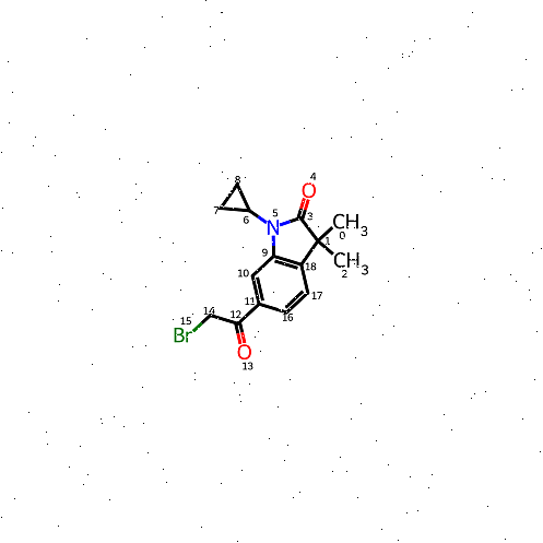 CC1(C)C(=O)N(C2CC2)c2cc(C(=O)CBr)ccc21